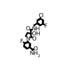 NC(=O)c1ccc(F)c(N2CC[C@](O)(C(=O)NCc3cc(F)cc(Cl)c3)C2=O)c1